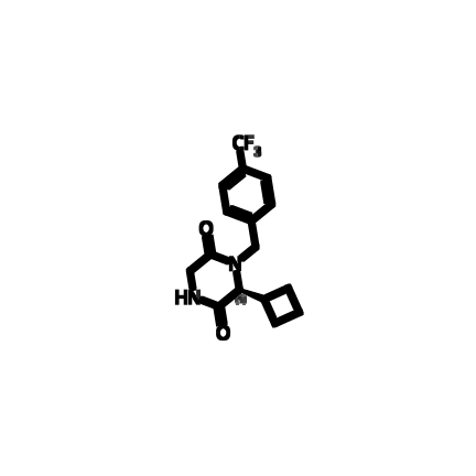 O=C1NCC(=O)N(Cc2ccc(C(F)(F)F)cc2)[C@H]1C1CCC1